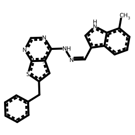 Cc1cccc2c(/C=N\Nc3ncnc4sc(Cc5ccccc5)cc34)c[nH]c12